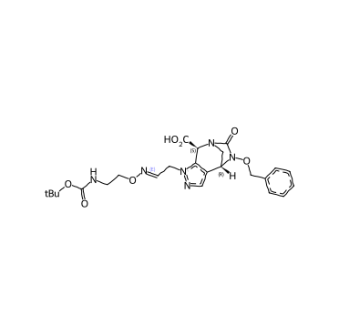 CC(C)(C)OC(=O)NCCO/N=C/Cn1ncc2c1[C@@H](C(=O)O)N1C[C@@H]2N(OCc2ccccc2)C1=O